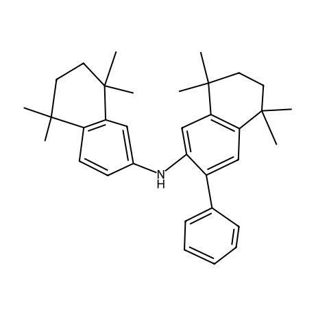 CC1(C)CCC(C)(C)c2cc(Nc3cc4c(cc3-c3ccccc3)C(C)(C)CCC4(C)C)ccc21